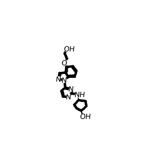 OCCOc1cccc2c1cnn2-c1ccnc(N[C@H]2CC[C@H](O)CC2)n1